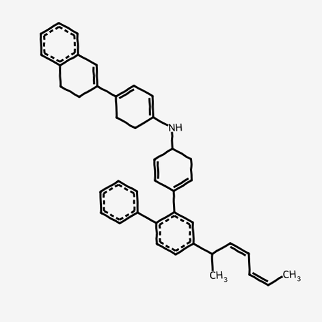 C/C=C\C=C/C(C)c1ccc(-c2ccccc2)c(C2=CCC(NC3=CC=C(C4=Cc5ccccc5CC4)CC3)C=C2)c1